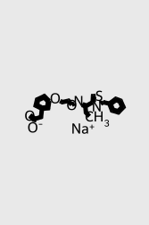 CC/C(=N\OCCOc1cccc(CC(=O)[O-])c1)c1csc(-c2ccccc2)n1.[Na+]